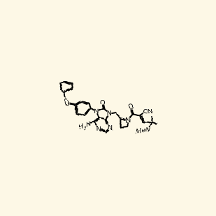 CNC(C)(C)C=C(C#N)C(=O)N1CCC1Cn1c(=O)n(-c2ccc(Oc3ccccc3)cc2)c2c(N)ncnc21